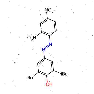 CCC(C)c1cc(N=Nc2ccc([N+](=O)[O-])cc2[N+](=O)[O-])cc(C(C)CC)c1O